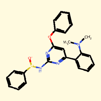 CN(C)c1ccccc1-c1cc(Oc2ccccc2)nc(N[S+]([O-])c2ccccc2)n1